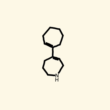 C1=C(C2=CCNCCC2)CCCCC1